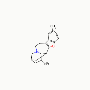 CCCC1CC2CC3c4oc5ccc(C)cc5c4CCN(C2)C13